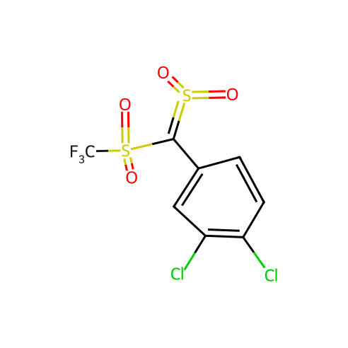 O=S(=O)=C(c1ccc(Cl)c(Cl)c1)S(=O)(=O)C(F)(F)F